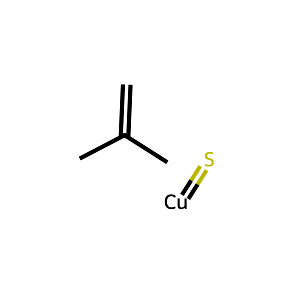 C=C(C)C.[S]=[Cu]